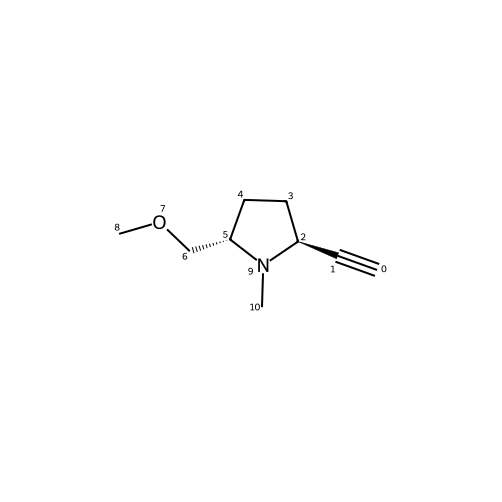 C#C[C@@H]1CC[C@@H](COC)N1C